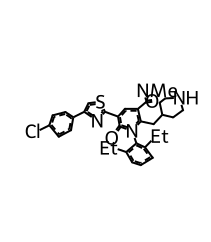 CCc1cccc(CC)c1-n1c(CC2CCNCC2)c(C(=O)NC)cc(-c2nc(-c3ccc(Cl)cc3)cs2)c1=O